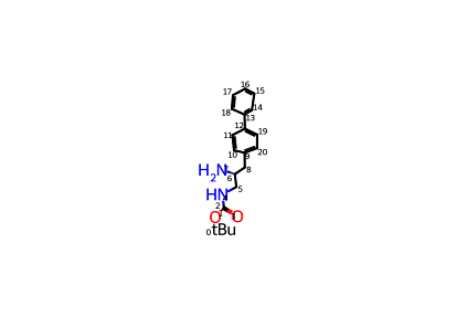 CC(C)(C)OC(=O)NC[C@@H](N)Cc1ccc(-c2ccccc2)cc1